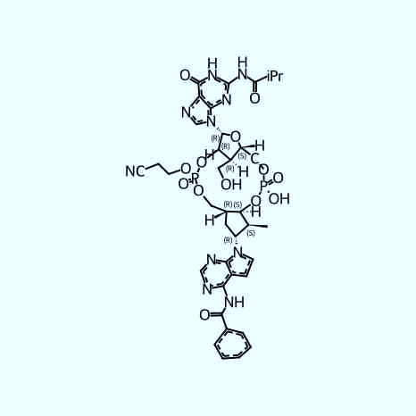 CC(C)C(=O)Nc1nc2c(ncn2[C@@H]2O[C@@H]3COP(=O)(O)O[C@@H]4[C@@H](COP(=O)(OCCC#N)O[C@@H]2[C@@H]3CO)C[C@@H](n2ccc3c(NC(=O)c5ccccc5)ncnc32)[C@@H]4C)c(=O)[nH]1